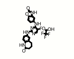 O=C(O)C(F)(F)F.O=C1CCCc2cc(Nc3ncc(F)c(Nc4ccc5oc(=O)[nH]c5c4)n3)ccc2N1